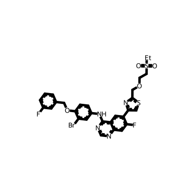 CCS(=O)(=O)CCOCc1nc(-c2cc3c(Nc4ccc(OCc5cccc(F)c5)c(Br)c4)ncnc3cc2F)cs1